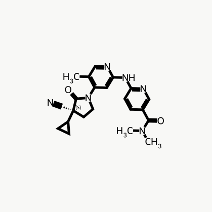 Cc1cnc(Nc2ccc(C(=O)N(C)C)cn2)cc1N1CC[C@@](C#N)(C2CC2)C1=O